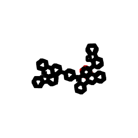 C1=CCC(N(c2ccc(-c3ccc(-c4ccccc4-n4c5ccccc5c5ccccc54)cc3)cc2)c2ccc(-c3cccc4c3oc3ccccc34)cc2)C(c2cc3ccccc3c3ccccc23)=C1